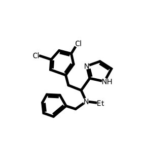 CCN(Cc1ccccc1)C(Cc1cc(Cl)cc(Cl)c1)c1ncc[nH]1